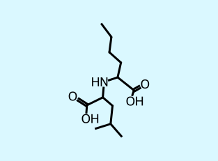 CCCCC(NC(CC(C)C)C(=O)O)C(=O)O